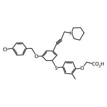 Cc1cc(SC2C=C(C#CCN3CCCCC3)C=C(OCc3ccc(Cl)cc3)C2)ccc1OCC(=O)O